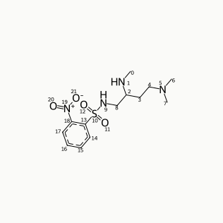 CNC(CCN(C)C)CNS(=O)(=O)c1ccccc1[N+](=O)[O-]